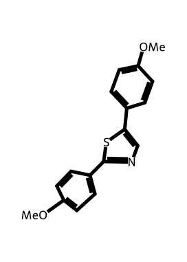 COc1ccc(-c2cnc(-c3ccc(OC)cc3)s2)cc1